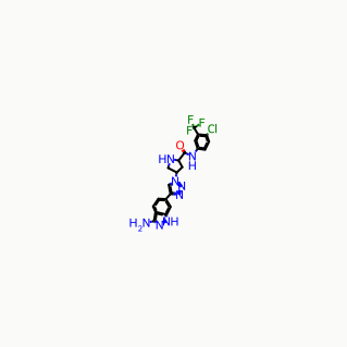 Nc1n[nH]c2cc(-c3cn(C4CNC(C(=O)Nc5ccc(Cl)c(C(F)(F)F)c5)C4)nn3)ccc12